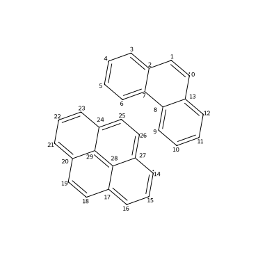 [c]1cc2ccccc2c2ccccc12.[c]1ccc2ccc3cccc4ccc1c2c43